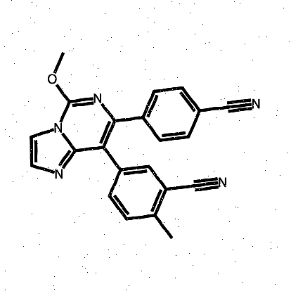 COc1nc(-c2ccc(C#N)cc2)c(-c2ccc(C)c(C#N)c2)c2nccn12